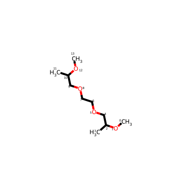 COC(C)COCCOCC(C)OC